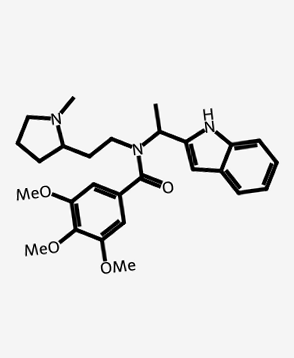 COc1cc(C(=O)N(CCC2CCCN2C)C(C)c2cc3ccccc3[nH]2)cc(OC)c1OC